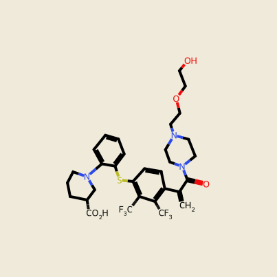 C=C(C(=O)N1CCN(CCOCCO)CC1)c1ccc(Sc2ccccc2N2CCCC(C(=O)O)C2)c(C(F)(F)F)c1C(F)(F)F